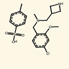 COc1cc(Cl)ccc1CN(C)CC1CNC1.Cc1ccc(S(=O)(=O)O)cc1